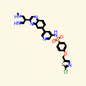 CN/C=C(\C=N)c1cnc2ccc(-c3cncc(NS(=O)(=O)c4ccc(OCc5cnc(Cl)s5)cc4)c3)cc2n1